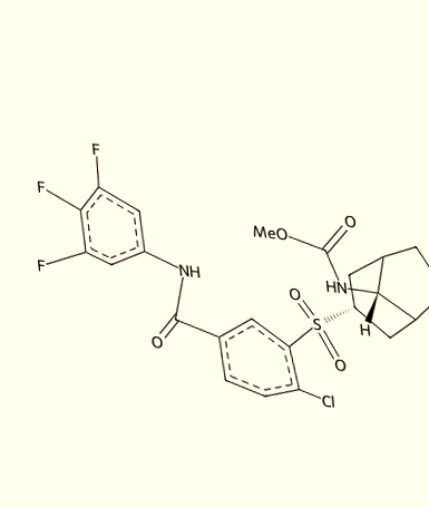 COC(=O)N[C@H]1C2CCC1C[C@@H](S(=O)(=O)c1cc(C(=O)Nc3cc(F)c(F)c(F)c3)ccc1Cl)C2